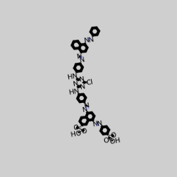 O=S(=O)(O)c1ccc(/N=N/c2ccc(/N=N/c3ccc(Nc4nc(Cl)nc(Nc5ccc(/N=N/c6ccc(/N=N/c7ccccc7)c7ccccc67)cc5)n4)cc3)c3ccc(S(=O)(=O)O)cc23)cc1